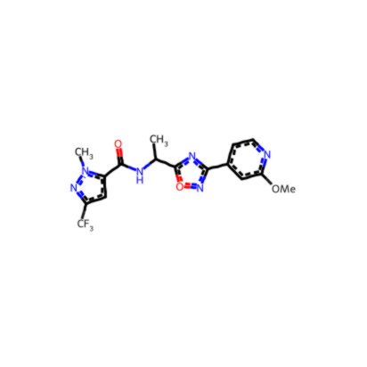 COc1cc(-c2noc(C(C)NC(=O)c3cc(C(F)(F)F)nn3C)n2)ccn1